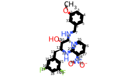 COc1cccc(CNC[C@@H](O)[C@H](Cc2cc(F)cc(F)c2)Nc2ncccc2[N+](=O)[O-])c1